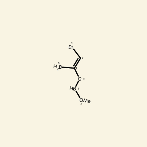 B/C(=C\CC)OBOC